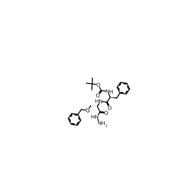 CC(C)(C)OC(=O)N[C@@H](Cc1ccccc1)C(=O)N[C@@H](COCc1ccccc1)C(=O)NN